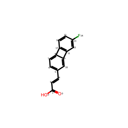 O=C(O)C=Cc1ccc2c(c1)-c1cc(F)ccc1-2